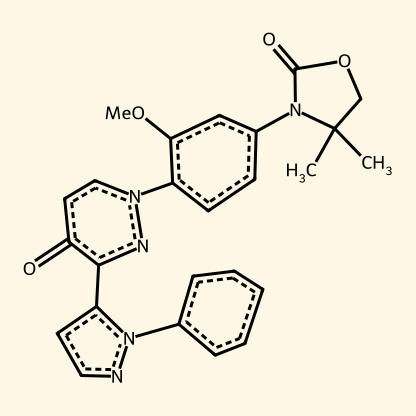 COc1cc(N2C(=O)OCC2(C)C)ccc1-n1ccc(=O)c(-c2ccnn2-c2ccccc2)n1